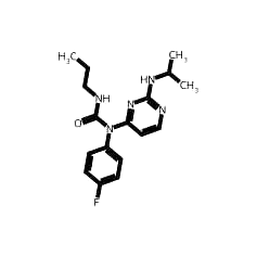 CCCNC(=O)N(c1ccc(F)cc1)c1ccnc(NC(C)C)n1